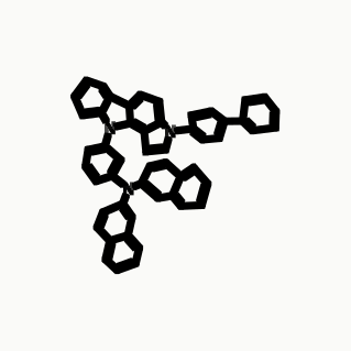 c1ccc(-c2ccc(-n3ccc4c3ccc3c5ccccc5n(-c5cccc(N(c6ccc7ccccc7c6)c6ccc7ccccc7c6)c5)c34)cc2)cc1